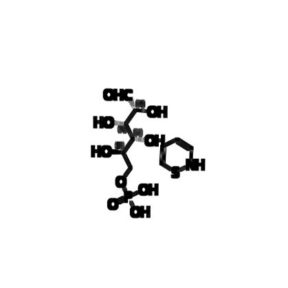 C1=CNSC=C1.O=C[C@H](O)[C@@H](O)[C@H](O)[C@H](O)COP(=O)(O)O